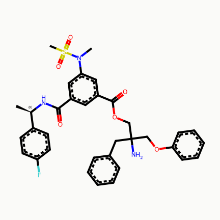 C[C@@H](NC(=O)c1cc(C(=O)OCC(N)(COc2ccccc2)Cc2ccccc2)cc(N(C)S(C)(=O)=O)c1)c1ccc(F)cc1